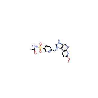 COc1ccc2c(ncc3[nH]c[n+](Cc4ccc(S(=O)(=O)NC(C)=O)cn4)c32)n1